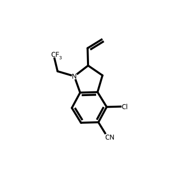 C=CC1Cc2c(ccc(C#N)c2Cl)N1CC(F)(F)F